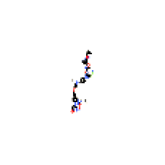 CN(CCCOCC#Cc1ccc2c(c1)n(C)c(=O)n2C1CCC(=O)NC1=O)C[C@H]1CC[C@H](n2cc(NC(=O)c3coc(-c4ccnc(NCC5CC5)c4)n3)c(C(F)F)n2)CC1